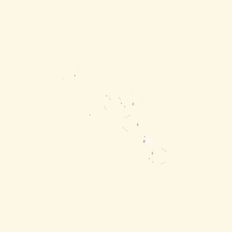 COC[C@]12C[C@H]1[C@@](CF)(c1cc(/C=C(\F)c3ccc(Cl)cn3)ccc1F)N=C(N(COCC[Si](C)(C)C)C(=O)OC(C)(C)C)S2